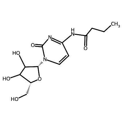 CCCC(=O)Nc1ccn([C@@H]2O[C@H](CO)C(O)C2O)c(=O)n1